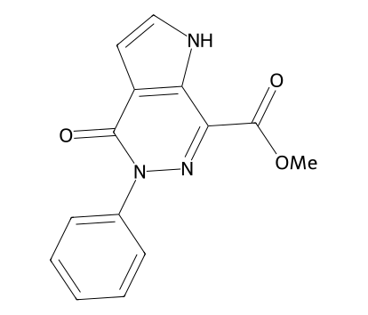 COC(=O)c1nn(-c2ccccc2)c(=O)c2cc[nH]c12